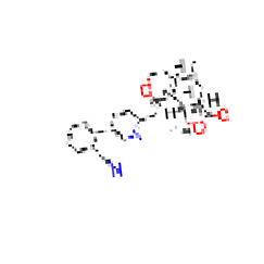 C[C@H]1C[C@H]2C(=O)O[C@H](C)[C@H]2[C@@H]2[C@@H]1CCO[C@H]2Cc1ccc(-c2ccccc2C#N)cn1